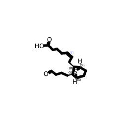 O=CCCC[C@H]1[C@@H](C/C=C\CCCC(=O)O)[C@H]2CC[C@@H]1S2